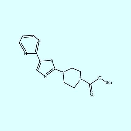 CC(C)(C)OC(=O)N1CCN(c2ncc(-c3ncccn3)s2)CC1